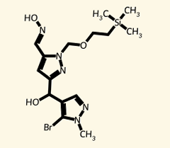 Cn1ncc(C(O)c2cc(C=NO)n(COCC[Si](C)(C)C)n2)c1Br